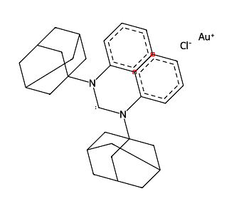 [Au+].[C](N(c1ccccc1)C12CC3CC(CC(C3)C1)C2)N(c1ccccc1)C12CC3CC(CC(C3)C1)C2.[Cl-]